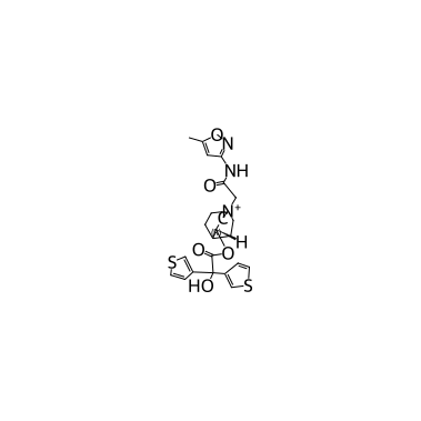 Cc1cc(NC(=O)C[N+]23CCC(CC2)[C@@H](OC(=O)C(O)(c2ccsc2)c2ccsc2)C3)no1